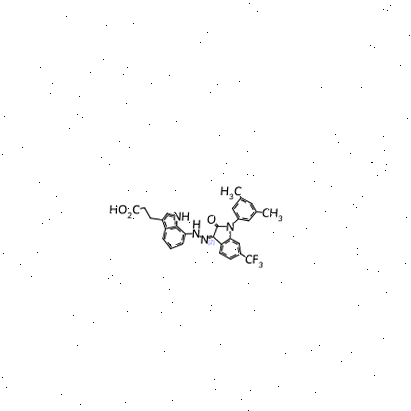 Cc1cc(C)cc(N2C(=O)/C(=N\Nc3cccc4c(CCC(=O)O)c[nH]c34)c3ccc(C(F)(F)F)cc32)c1